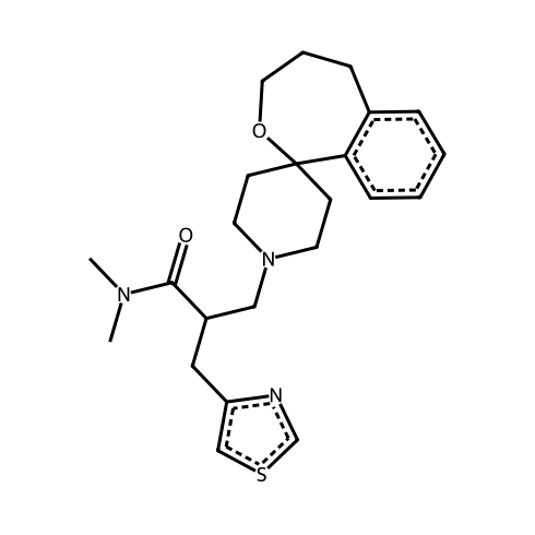 CN(C)C(=O)C(Cc1cscn1)CN1CCC2(CC1)OCCCc1ccccc12